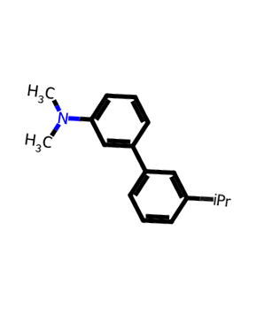 CC(C)c1cccc(-c2cccc(N(C)C)c2)c1